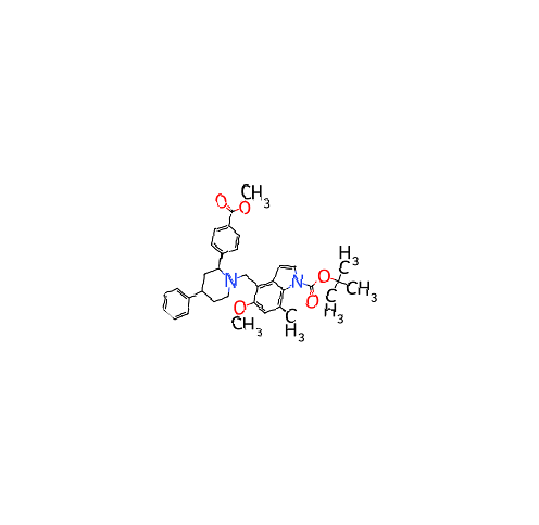 COC(=O)c1ccc([C@@H]2CC(c3ccccc3)CCN2Cc2c(OC)cc(C)c3c2ccn3C(=O)OC(C)(C)C)cc1